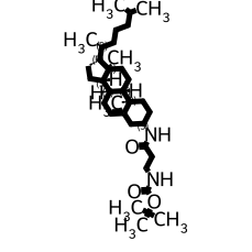 CC(C)CCC[C@@H](C)[C@H]1CC[C@H]2[C@@H]3CC=C4C[C@@H](NC(=O)CCNC(=O)OC(C)(C)C)CC[C@]4(C)[C@H]3CC[C@]12C